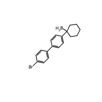 BC1(c2ccc(-c3ccc(Br)cc3)cc2)CCCCC1